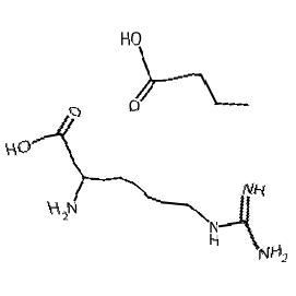 CCCC(=O)O.N=C(N)NCCCC(N)C(=O)O